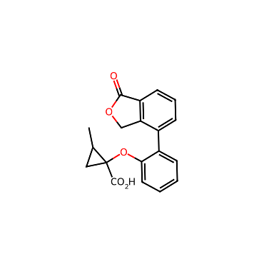 CC1CC1(Oc1ccccc1-c1cccc2c1COC2=O)C(=O)O